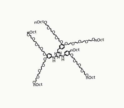 CCCCCCCCOCCOCCOCCOCCOc1cc(Nc2nc(Cc3ccc(OCCOCCOCCOCCOCCCCCCCC)c(OCCOCCOCCOCCOCCCCCCCC)c3)nc(Nc3ccc(OCCOCCOCCOCCOCCCCCCCC)c(OCCOCCOCCOCCOCCCCCCCC)c3)n2)ccc1CCCCCCCC